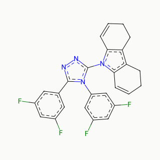 Fc1cc(F)cc(-c2nnc(-n3c4c(c5c3C=CCC5)CCC=C4)n2-c2cc(F)cc(F)c2)c1